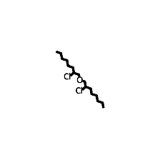 CCCCCCC(Cl)COCC(Cl)CCCCCC